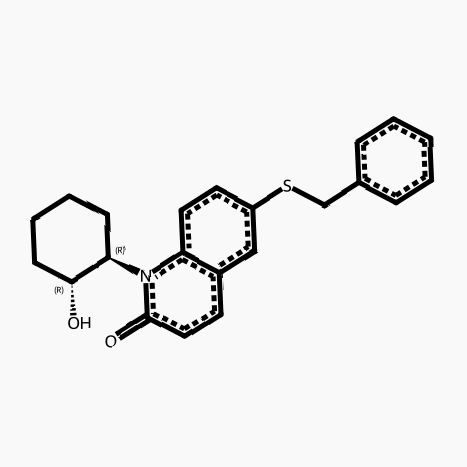 O=c1ccc2cc(SCc3ccccc3)ccc2n1[C@@H]1CCCC[C@H]1O